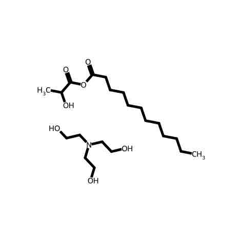 CCCCCCCCCCCC(=O)OC(=O)C(C)O.OCCN(CCO)CCO